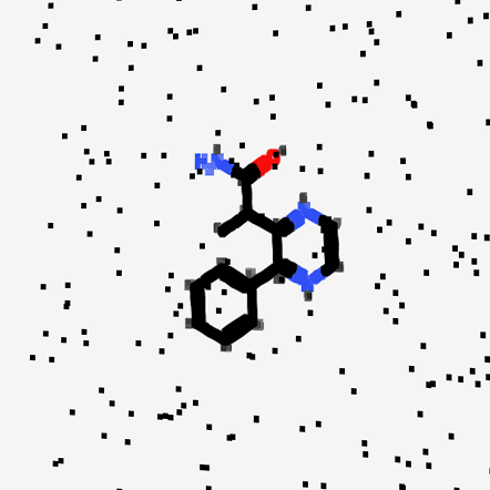 CC(C(N)=O)c1nccnc1-c1ccccc1